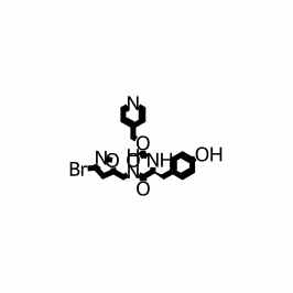 O=C(N[C@@H](Cc1ccc(O)cc1)C(=O)NCC1CC(Br)=NO1)OCc1ccncc1